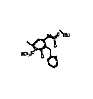 CC(C)(C)C.Cc1cc(N=S(=O)=O)c(Cc2ccccc2)c(=O)n1C(=O)O